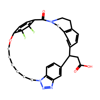 O=C(O)CC1c2ccc3c(c2)CN(CC3)C(=O)c2ccc(c(F)c2F)OCCCCCCn2nnc3cc1ccc32